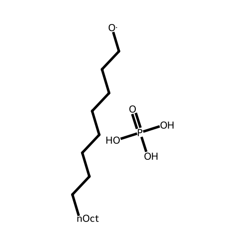 CCCCCCCCCCCCCCCC[O].O=P(O)(O)O